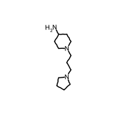 NC1CCN(CCCN2CCCC2)CC1